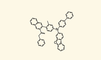 C=C(Cc1ccccc1)c1cc2ccccc2cc1-c1ccc(N(c2ccc(-c3ccccc3)cc2)c2ccc3c(c2)oc2ccccc23)cc1C